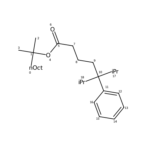 CCCCCCCCC(C)(C)OC(=O)CCCC(c1ccccc1)(C(C)C)C(C)C